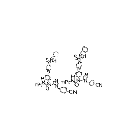 CCCNC(=O)N(Cc1cncn1Cc1ccc(C#N)cc1)c1ccc(N2CCN(C(=S)NCC3CCCCC3)CC2)cc1.CCCNC(=O)N(Cc1cncn1Cc1ccc(C#N)cc1)c1ccc(N2CCN(C(=S)NCc3ccccc3)CC2)cc1